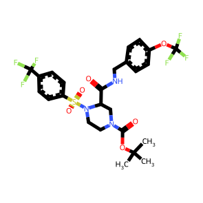 CC(C)(C)OC(=O)N1CCN(S(=O)(=O)c2ccc(C(F)(F)F)cc2)C(C(=O)NCc2ccc(OC(F)(F)F)cc2)C1